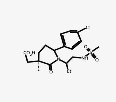 CCC(CNS(C)(=O)=O)N1C(=O)[C@@](C)(CC(=O)O)CCC1c1ccc(Cl)cc1